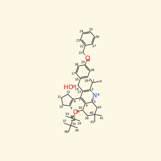 CC(C)c1nc2c(c(C3=CCCC3)c1[C@H](O)c1ccc(OCc3ccccc3)cc1)C(O[Si](C)(C)C(C)(C)C)CC(C)(C)C2